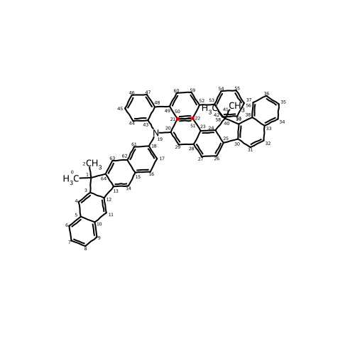 CC1(C)c2cc3ccccc3cc2-c2cc3ccc(N(c4ccc5c6c(ccc5c4)-c4ccc5ccccc5c4C6(C)C)c4ccccc4-c4ccc(-c5ccccc5)cc4)cc3cc21